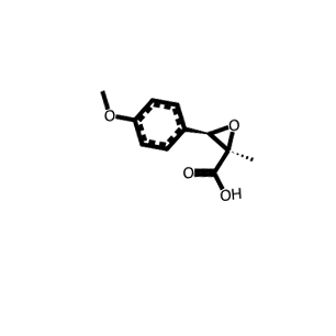 COc1ccc([C@H]2O[C@@]2(C)C(=O)O)cc1